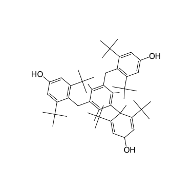 Cc1c(Cc2c(C(C)(C)C)cc(O)cc2C(C)(C)C)c(C)c(C2(C)C(C(C)(C)C)=CC(O)C=C2C(C)(C)C)c(C)c1Cc1c(C(C)(C)C)cc(O)cc1C(C)(C)C